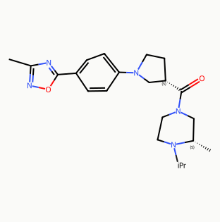 Cc1noc(-c2ccc(N3CC[C@H](C(=O)N4CCN(C(C)C)[C@@H](C)C4)C3)cc2)n1